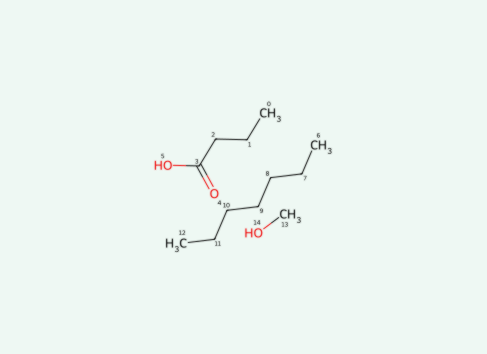 CCCC(=O)O.CCCCCCC.CO